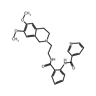 COc1cc2c(cc1OC)CN(CCNC(=O)c1ccccc1NC(=O)c1cccnc1)CC2